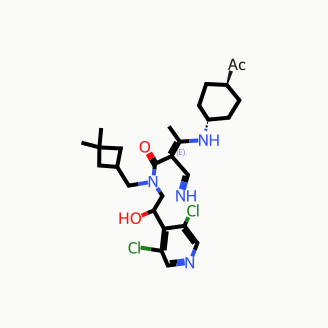 C/C(N[C@H]1CC[C@H](C(C)=O)CC1)=C(/C=N)C(=O)N(CC1CC(C)(C)C1)CC(O)c1c(Cl)cncc1Cl